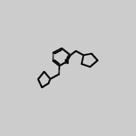 c1cc(CC2CCCC2)nc(CC2CCCC2)c1